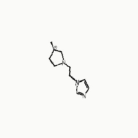 C[C@@H]1CCN(CCn2ccnc2)C1